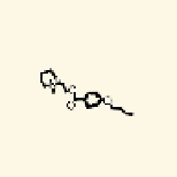 CCCCOc1ccc(C(=O)OCC[N+]2(C)CCCCC2)cc1